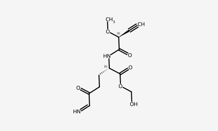 C#C[C@H](OC)C(=O)N[C@@H](CCC(=O)C=N)C(=O)OCO